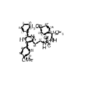 COc1ccc(-c2[nH]c(-c3ccccc3)nc2CCNS(=O)(=O)N[C@H](C)c2ccc(C)cc2)cc1